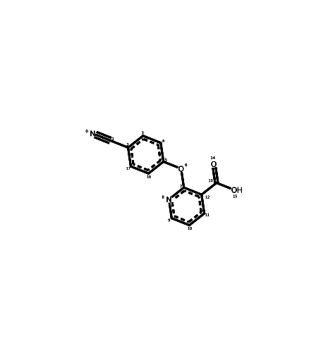 N#Cc1ccc(Oc2ncccc2C(=O)O)cc1